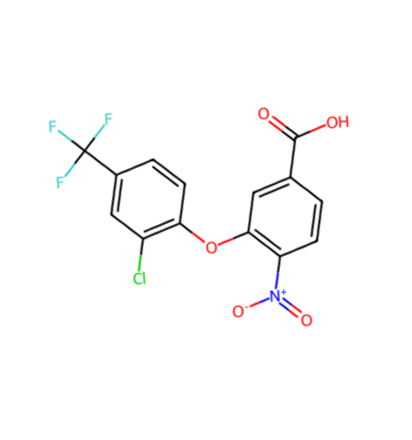 O=C(O)c1ccc([N+](=O)[O-])c(Oc2ccc(C(F)(F)F)cc2Cl)c1